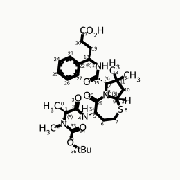 C[C@@H](C(=O)N[C@H]1CCS[C@H]2CC(C)(C)[C@@H](C(=O)N[C@H](CCC(=O)O)c3ccccc3)N2C1=O)N(C)C(=O)OC(C)(C)C